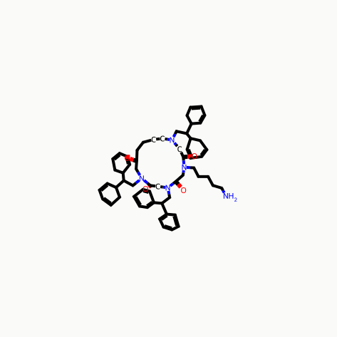 NCCCCCN1CC(=O)N(CC(c2ccccc2)c2ccccc2)CC(=O)N(CC(C2C=CC=CC2)C2C=CC=CC2)CC(=O)CCCCN(CC(C2C=CC=CC2)C2C=CC=CC2)CC1=O